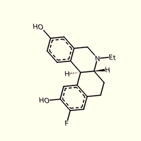 CCN1Cc2cc(O)ccc2[C@@H]2c3cc(O)c(F)cc3CC[C@H]21